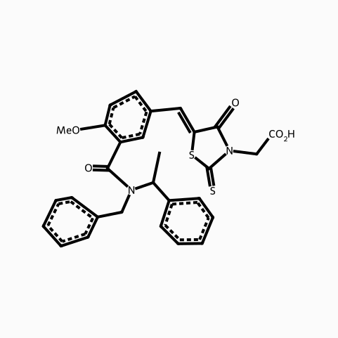 COc1ccc(/C=C2\SC(=S)N(CC(=O)O)C2=O)cc1C(=O)N(Cc1ccccc1)C(C)c1ccccc1